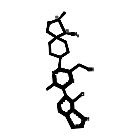 Cc1nc(N2CCC3(CC2)CO[C@@H](C)[C@H]3N)c(CO)nc1-c1ccc2cc[nH]c2c1Cl